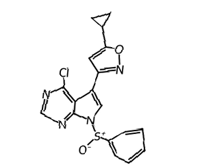 [O-][S+](c1ccccc1)n1cc(-c2cc(C3CC3)on2)c2c(Cl)ncnc21